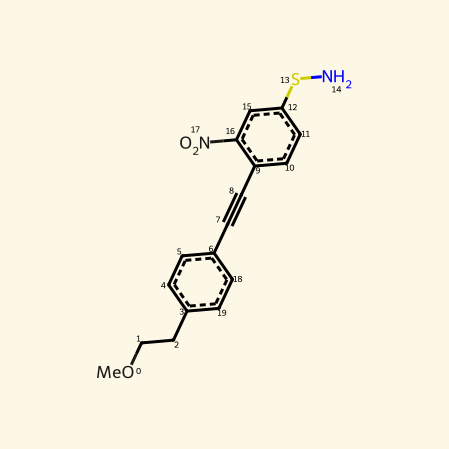 COCCc1ccc(C#Cc2ccc(SN)cc2[N+](=O)[O-])cc1